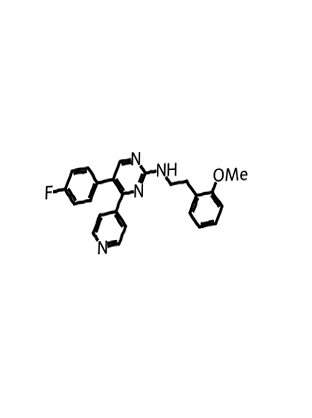 COc1ccccc1CCNc1ncc(-c2ccc(F)cc2)c(-c2ccncc2)n1